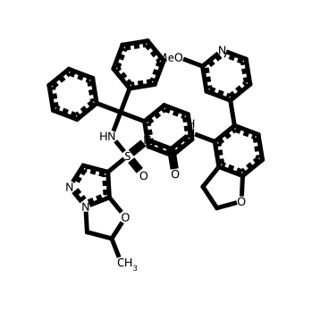 COc1cc(-c2ccc3c(c2NC(=O)N=S(=O)(NC(c2ccccc2)(c2ccccc2)c2ccccc2)c2cnn4c2OC(C)C4)CCO3)ccn1